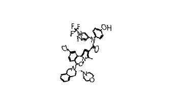 Cc1c(C(=O)N(c2ccc(O)cc2)c2cnn(C(F)(F)F)c2)cc(-c2cc(Cl)ccc2C(=O)N2Cc3ccccc3C[C@H]2CN2CCOCC2)n1C